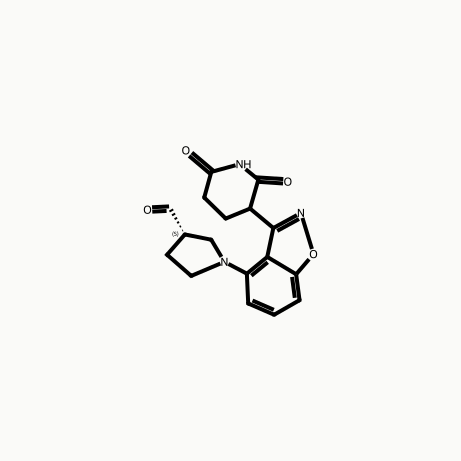 O=C[C@H]1CCN(c2cccc3onc(C4CCC(=O)NC4=O)c23)C1